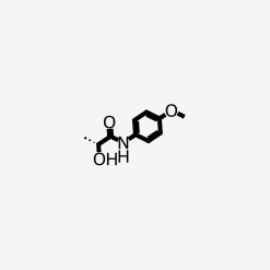 COc1ccc(NC(=O)[C@@H](C)O)cc1